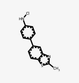 Cc1nc2cc(-c3ccc(NCl)cc3)ccc2s1